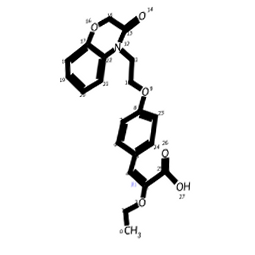 CCO/C(=C/c1ccc(OCCN2C(=O)COc3ccccc32)cc1)C(=O)O